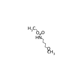 CCOC(=O)NCCCCOC